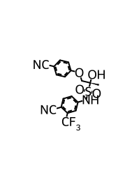 C[C@](O)(COc1ccc(C#N)cc1)S(=O)(=O)Nc1ccc(C#N)c(C(F)(F)F)c1